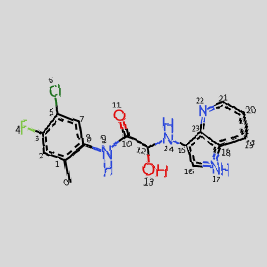 Cc1cc(F)c(Cl)cc1NC(=O)C(O)Nc1c[nH]c2cccnc12